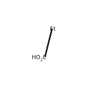 CCC=CCCCCCCCCCCCCCCCCCCCCCC(=O)O